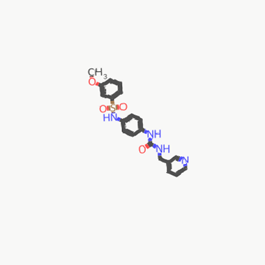 COc1cccc(S(=O)(=O)Nc2ccc(NC(=O)NCc3cccnc3)cc2)c1